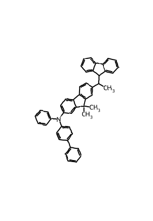 CC(c1ccc2c(c1)C(C)(C)c1cc(N(c3ccccc3)c3ccc(-c4ccccc4)cc3)ccc1-2)C1c2ccccc2-c2ccccc21